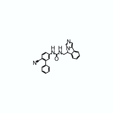 N#Cc1ccc(NC(=O)NCC2c3ccccc3-c3cncn32)cc1-c1ccccc1